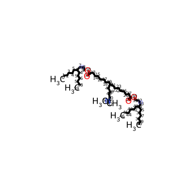 CCCCCCC(/C=C\COC(=O)CCCCCCCC(CCCCCCCC(=O)OC/C=C\C(CCCCCC)CCCCCC)CCCCN(C)C)CCCCCC